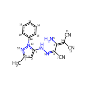 Cc1cc(NN=C(C#N)C(N)=C(C#N)C#N)n(-c2ccccc2)n1